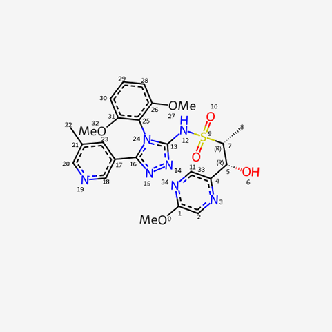 COc1cnc([C@@H](O)[C@@H](C)S(=O)(=O)Nc2nnc(-c3cncc(C)c3)n2-c2c(OC)cccc2OC)cn1